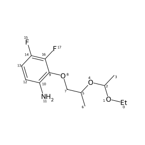 CCOC(C)OC(C)COc1c(N)ccc(F)c1F